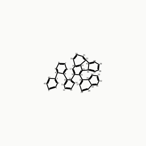 c1ccc(-c2ccccc2-c2ccccc2-c2cc3cccc4c3c(c2-c2cccc3ccccc23)-c2ccccc2-4)cc1